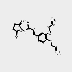 C=CCOc1ccc(/C=C/C(=O)ON2C(=O)CCC2=O)cc1OCC=C